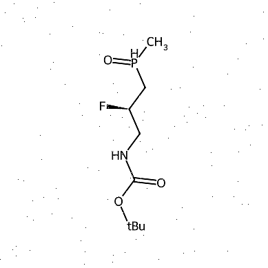 C[PH](=O)C[C@H](F)CNC(=O)OC(C)(C)C